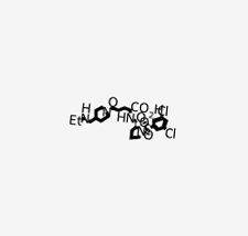 CCNCC1CCN(C(=O)CC[C@H](NC(=O)[C@H]2CCCN2S(=O)(=O)c2cc(Cl)cc(Cl)c2)C(=O)O)CC1